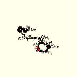 CNN(C)Cc1cc2ccccc2n1CCC(=O)N[C@@H](CS(=O)(=O)O)C(=O)NCCOCCOCCC(=O)N(C)[C@@H](C)C(=O)O[C@H]1CC(=O)N(C)c2cc(cc(OC)c2Cl)C/C(C)=C/C=C/[C@@H](OC)[C@@]2(O)C[C@H](OC(=O)N2)[C@@H](C)C2O[C@]21C